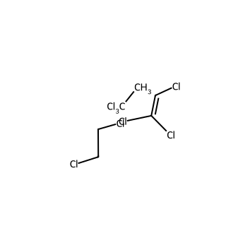 CC(Cl)(Cl)Cl.ClC=C(Cl)Cl.ClCCCl